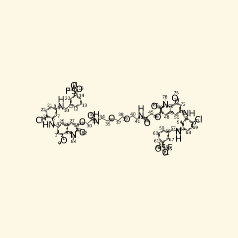 COc1cc(Nc2cc(NCc3cccc(S(=O)(=O)F)c3)ccc2Cl)cc2cc(OCC(=O)NCCOCCOCCNC(=O)COc3cc4cc(Nc5cc(NCc6cccc(S(=O)(=O)F)c6)ccc5Cl)cc(OC)c4n(C)c3=O)c(=O)n(C)c12